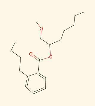 CCCCCC(COC)OC(=O)c1ccccc1CCCC